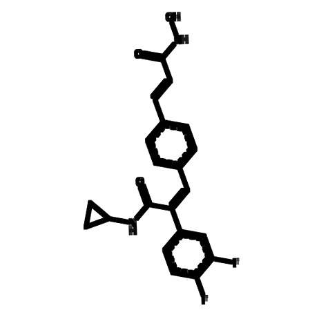 O=C(C=Cc1ccc(C=C(C(=O)NC2CC2)c2ccc(F)c(F)c2)cc1)NO